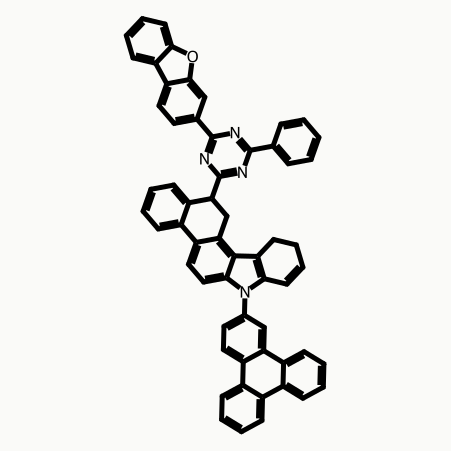 C1=Cc2c(c3c4c(ccc3n2-c2ccc3c5ccccc5c5ccccc5c3c2)-c2ccccc2C(c2nc(-c3ccccc3)nc(-c3ccc5c(c3)oc3ccccc35)n2)C4)CC1